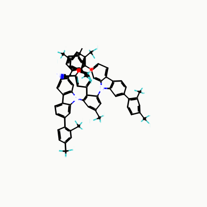 Cc1ccc(-c2ccc3c4ccc(-c5ccc(C(F)(F)F)cc5C(F)(F)F)cc4n(-c4cc(C(F)(F)F)cc(-n5c6cc(-c7ccc(C(F)(F)F)cc7C(F)(F)F)ccc6c6ccc(-c7ccc(C(F)(F)F)cc7C(F)(F)F)cc65)c4-c4cccc(C#N)c4)c3c2)c(C(F)(F)F)c1